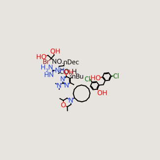 CC(=O)O.CC1CN(C2CCCCCCCCCCC2)CC(C)O1.CCCCCCCCCCCCNC(=N)N.CCCCc1c(C)nc(N(C)C)nc1O.O=[N+]([O-])C(Br)(CO)CO.Oc1ccc(Cl)cc1Cc1cc(Cl)ccc1O